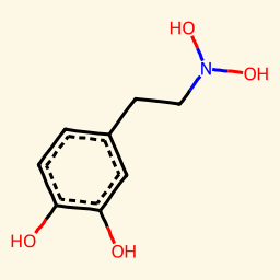 Oc1ccc(CCN(O)O)cc1O